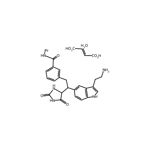 CC(C)NC(=O)c1cccc(CC(c2ccc3[nH]cc(CCN)c3c2)C2NC(=O)NC2=O)c1.O.O=C(O)C=CC(=O)O